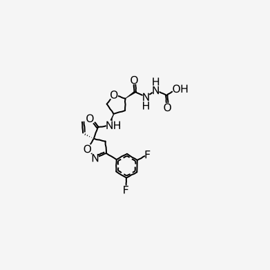 C=C[C@]1(C(=O)N[C@H]2CO[C@@H](C(=O)NNC(=O)O)C2)CC(c2cc(F)cc(F)c2)=NO1